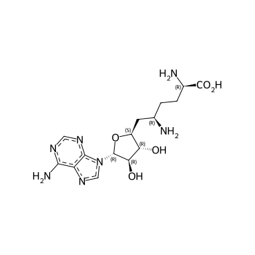 Nc1ncnc2c1ncn2[C@@H]1O[C@@H](C[C@H](N)CC[C@@H](N)C(=O)O)[C@H](O)[C@H]1O